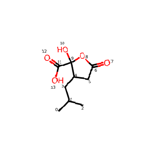 CC(C)CC1CC(=O)OC1(O)C(=O)O